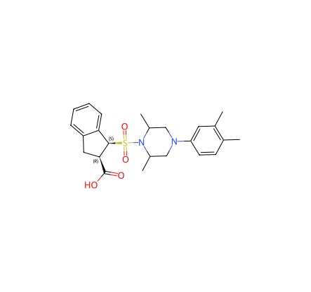 Cc1ccc(N2CC(C)N(S(=O)(=O)[C@@H]3c4ccccc4C[C@@H]3C(=O)O)C(C)C2)cc1C